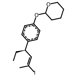 CC[C@H](/C=C(\C)I)c1ccc(OC2CCCCO2)cc1